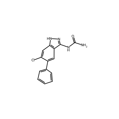 NC(=O)Nc1n[nH]c2cc(Cl)c(-c3ccccc3)cc12